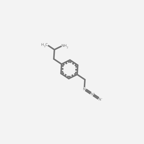 CC(N)Cc1ccc(CN=[N+]=[N-])cc1